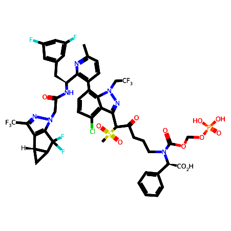 Cc1ccc(-c2ccc(Cl)c3c(C(C(=O)CCCN(C(=O)OCOP(=O)(O)O)[C@@H](C(=O)O)c4ccccc4)S(C)(=O)=O)nn(CC(F)(F)F)c23)c([C@H](Cc2cc(F)cc(F)c2)NC(=O)Cn2nc(C(F)(F)F)c3c2C(F)(F)C2C[C@H]32)n1